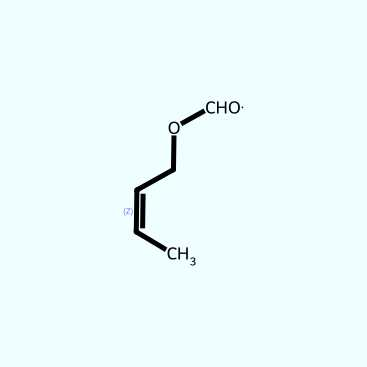 C/C=C\CO[C]=O